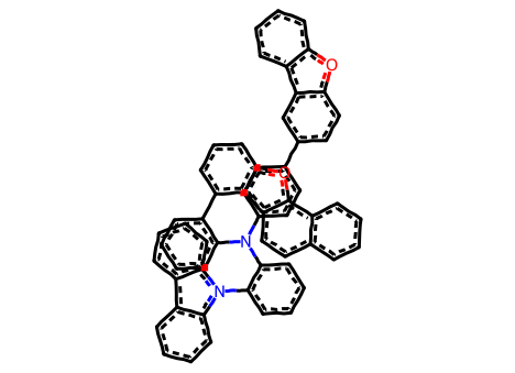 c1ccc(N(c2ccc(-c3ccc4oc5ccccc5c4c3)cc2)c2ccccc2-n2c3ccccc3c3ccccc32)c(-c2cccc3oc4c5ccccc5ccc4c23)c1